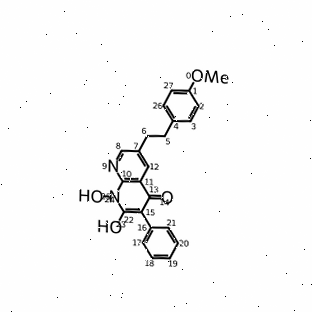 COc1ccc(CCc2cnc3c(c2)c(=O)c(-c2ccccc2)c(O)n3O)cc1